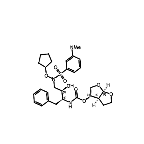 CNc1cccc(S(=O)(=O)N(C[C@@H](O)[C@H](Cc2ccccc2)NC(=O)O[C@H]2CO[C@H]3OCC[C@H]32)OC2CCCC2)c1